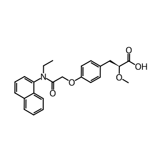 CCN(C(=O)COc1ccc(C[C@H](OC)C(=O)O)cc1)c1cccc2ccccc12